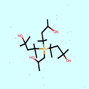 CC(O)CC(C)(C)[PH](CC(C)O)(C(C)(C)CC(C)(C)O)C(C)(C)CC(C)(C)O